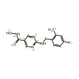 Cc1cc(F)ccc1CNc1ncc(C(=O)NO)cn1